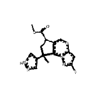 COC(=O)C1CC(C)(c2cn[nH]c2)c2c1cnc1cc(F)nn21